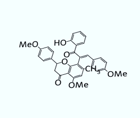 COc1ccc(/C=C(/C(=O)c2ccccc2O)c2c(C)cc(OC)c3c2OC(c2ccc(OC)cc2)CC3=O)cc1